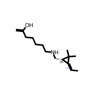 C=C(O)CCCCCNC[C@H]1/C(=C/C)C1(C)C